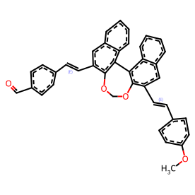 COc1ccc(/C=C/c2cc3ccccc3c3c2OCOc2c(/C=C/c4ccc(C=O)cc4)cc4ccccc4c2-3)cc1